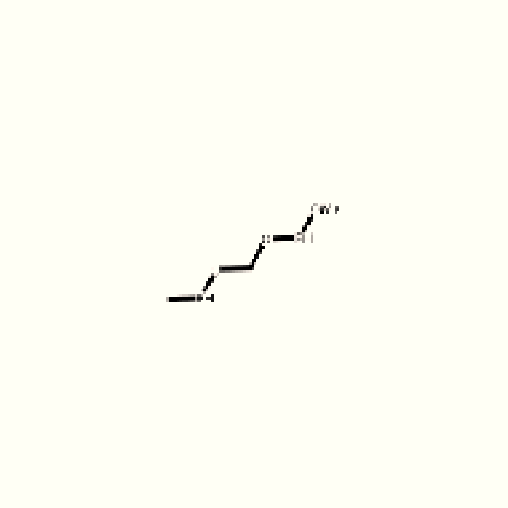 COPOCOPC